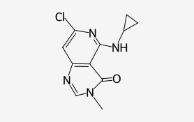 Cn1cnc2cc(Cl)nc(NC3CC3)c2c1=O